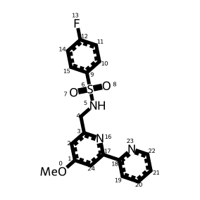 COc1cc(CNS(=O)(=O)c2ccc(F)cc2)nc(-c2ccccn2)c1